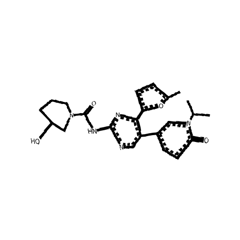 Cc1ccc(-c2nc(NC(=O)N3CCCC(O)C3)ncc2-c2ccc(=O)n(C(C)C)c2)o1